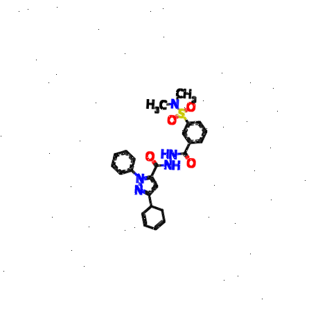 CN(C)S(=O)(=O)c1cccc(C(=O)NNC(=O)c2cc(C3C=CC=CC3)nn2-c2ccccc2)c1